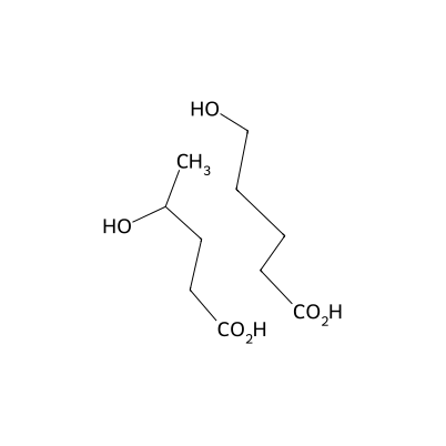 CC(O)CCC(=O)O.O=C(O)CCCCO